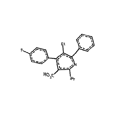 CCc1c(-c2ccccc2)nc(C(C)C)c(C(=O)O)c1-c1ccc(F)cc1